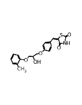 Cc1ccccc1OCC(O)COc1ccc(C=C2SC(=O)NC2=O)cc1